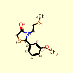 CCSCCN1C(=O)CSC1c1cccc(OC(F)(F)F)c1